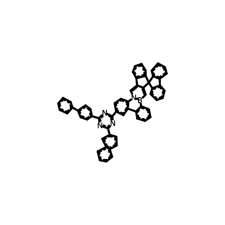 C1=C2C(=CB3c4ccccc4-c4cc(-c5nc(-c6ccc(-c7ccccc7)cc6)nc(-c6ccc7ccccc7c6)n5)ccc4N13)C1(c3ccccc32)c2ccccc2-c2ccccc21